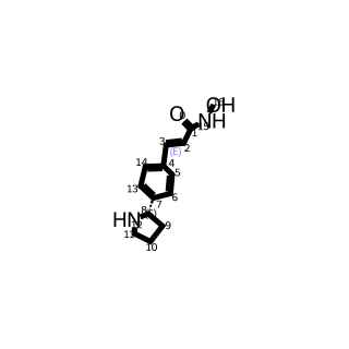 O=C(/C=C/c1ccc([C@@H]2CCCN2)cc1)NO